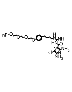 CCCOCCOCCOCCOc1ccc(CCCCNC(=N)NC(=O)c2nc(Cl)c(N)nc2N)cc1